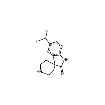 O=C1Nc2ncc(C(F)F)nc2C12CCNCC2